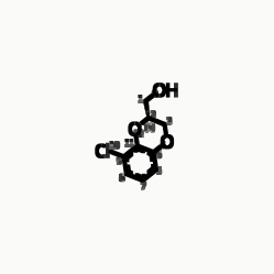 OC[C@H]1COc2cccc(Cl)c2O1